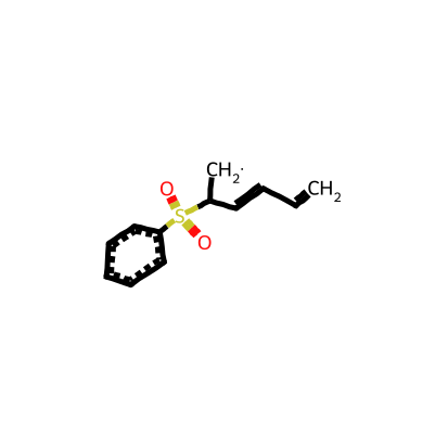 [CH2]C(C=CC=C)S(=O)(=O)c1ccccc1